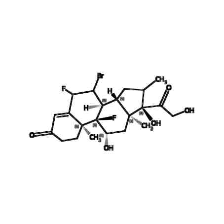 CC1C[C@H]2[C@@H]3C(Br)C(F)C4=CC(=O)CC[C@]4(C)[C@@]3(F)[C@@H](O)C[C@]2(C)[C@@]1(O)C(=O)CO